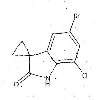 O=C1Nc2c(Cl)cc(Br)cc2C12CC2